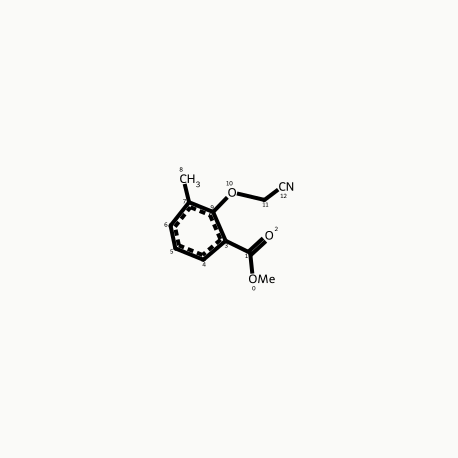 COC(=O)c1cccc(C)c1OCC#N